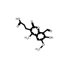 COc1cc2c(C)c(CCC(=O)O)c(=O)oc2c(C=O)c1O